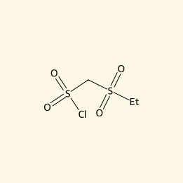 CCS(=O)(=O)CS(=O)(=O)Cl